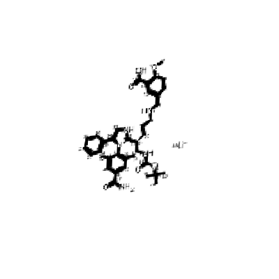 COc1ccc(CNCCC[C@@H](CNC(=O)OC(C)(C)C)c2[nH]cc(-c3ccccc3)[n+]2-c2c(C)cc(C(N)=O)cc2C)cc1C(=O)O.[Li+]